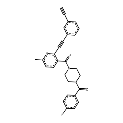 C#Cc1cccc(C#Cc2nc(C)ccc2C(=O)N2CCC(C(=O)c3ccc(F)cc3)CC2)c1